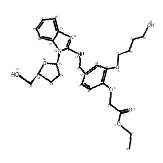 CCOC(=O)COc1ccc(CNc2nc3ccccc3n2[C@H]2CC[C@@H](CO)O2)cc1OCCCCO